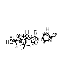 CCC(C)(C[C@H]1O[C@@H](c2cnc(=O)[nH]c2)[C@@H](F)C1O)OP(=O)(O)C(C)(O)CC